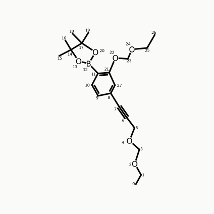 CCOCOCC#Cc1ccc(B2OC(C)(C)C(C)(C)O2)c(OCOCC)c1